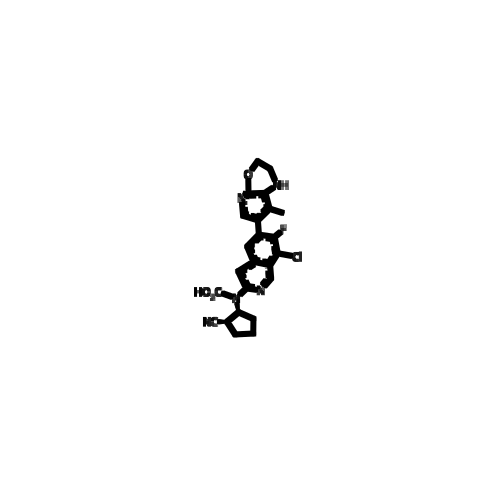 Cc1c(-c2cc3cc(N(C(=O)O)[C@H]4CCC[C@H]4C#N)ncc3c(Cl)c2F)cnc2c1NCCO2